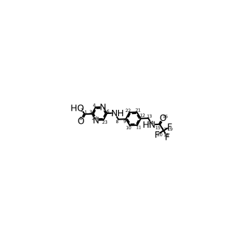 O=C(O)c1cnc(NCc2ccc(CNC(=O)C(F)(F)F)cc2)cn1